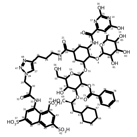 CC1OC(OC2C(NC(=O)c3cc(O)nc(O)n3)CC(C(=O)NCCCc3cn(CCC(=O)Nc4cc(S(=O)(=O)O)cc5cc(S(=O)(=O)O)cc(S(=O)(=O)O)c45)nn3)CC2OC2OC(CO)C(O)C(O[C@@H](CC3CCCCC3)C(=O)O)C2OC(=O)c2ccccc2)C(O)C(O)C1O